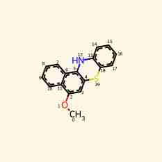 COc1cc2c(c3ccccc13)Nc1ccccc1S2